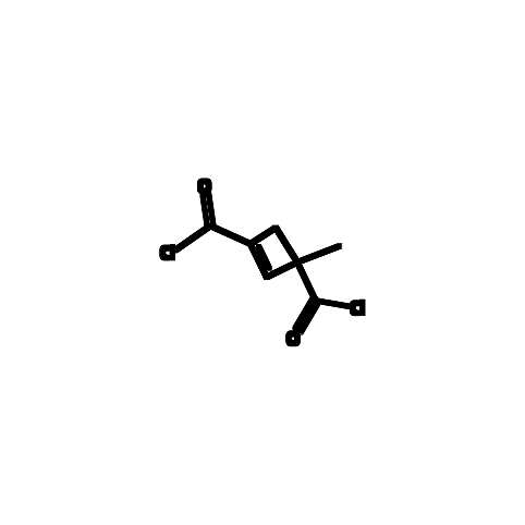 CC1(C(=O)Cl)C=C(C(=O)Cl)C1